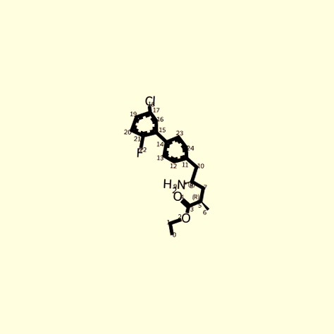 CCOC(=O)[C@H](C)C[C@H](N)Cc1ccc(-c2cc(Cl)ccc2F)cc1